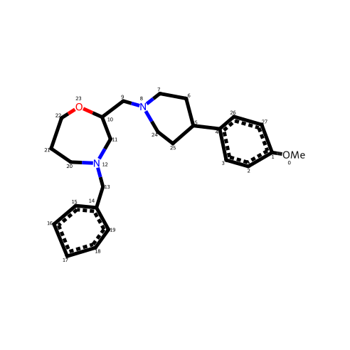 COc1ccc(C2CCN(CC3CN(Cc4ccccc4)CCCO3)CC2)cc1